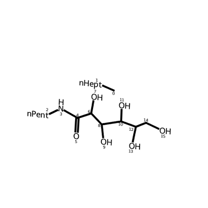 CCCCCCCC.CCCCCNC(=O)C(O)C(O)C(O)C(O)CO